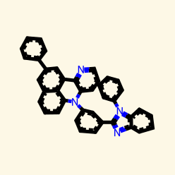 c1ccc(-c2cc3c4c(cccc4c2)N(c2cccc(-c4nc5ccccc5n4-c4ccccc4)c2)c2cccnc2-3)cc1